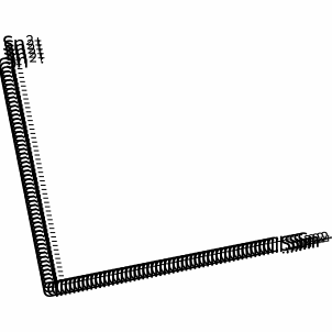 [Cl-].[Cl-].[Cl-].[Cl-].[Cl-].[Cl-].[Cl-].[Cl-].[Cl-].[Cl-].[Cl-].[Cl-].[Cl-].[Cl-].[Cl-].[Cl-].[Cl-].[Cl-].[Cl-].[Cl-].[Cl-].[Cl-].[Cl-].[Cl-].[Cl-].[Cl-].[Cl-].[Cl-].[Cl-].[Cl-].[Cl-].[Cl-].[Cl-].[Cl-].[Cl-].[Cl-].[Cl-].[Cl-].[Cl-].[Cl-].[Cl-].[Cl-].[Cl-].[Cl-].[Cl-].[Cl-].[Cl-].[Cl-].[Cl-].[Cl-].[Cl-].[Cl-].[Cl-].[Cl-].[Cl-].[Cl-].[Cl-].[Cl-].[Cl-].[Cl-].[Cl-].[Cl-].[Cl-].[Cl-].[Cl-].[Cl-].[Cl-].[Cl-].[Cl-].[Cl-].[Cl-].[Cl-].[Cl-].[Cl-].[Cl-].[Cl-].[Cl-].[Cl-].[Cl-].[Cl-].[Cl-].[Cl-].[Cl-].[Cl-].[Cl-].[Cl-].[Cl-].[Cl-].[Cl-].[Cl-].[Cl-].[Cl-].[Cl-].[Cl-].[Cl-].[Cl-].[Cl-].[Cl-].[Cl-].[Cl-].[Cl-].[Cl-].[Cl-].[Cl-].[Cl-].[Sn+2].[Sn+2].[Sn+2].[Sn+2].[Sn+2].[Sn+2].[Sn+2].[Sn+2].[Sn+2].[Sn+2]